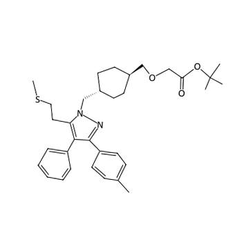 CSCCc1c(-c2ccccc2)c(-c2ccc(C)cc2)nn1C[C@H]1CC[C@H](COCC(=O)OC(C)(C)C)CC1